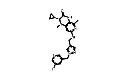 Cc1nc(NCc2cnn(Cc3cncc(F)c3)c2)cc2c1NC(=O)[C@H](C1CC1)N2C